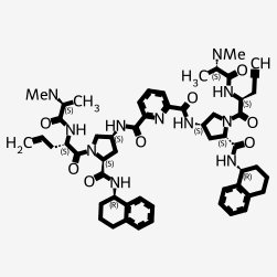 C#CC[C@H](NC(=O)[C@H](C)NC)C(=O)N1C[C@@H](NC(=O)c2cccc(C(=O)N[C@H]3C[C@@H](C(=O)N[C@@H]4CCCc5ccccc54)N(C(=O)[C@H](CC=C)NC(=O)[C@H](C)NC)C3)n2)C[C@H]1C(=O)N[C@@H]1CCCc2ccccc21